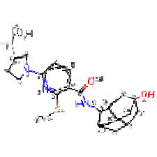 CCCSc1nc(N2CC[C@H](CC(=O)O)C2)ccc1C(=O)NC1C2CC3CC1CC(O)(C3)C2